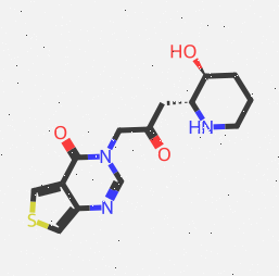 O=C(C[C@H]1NCCC[C@@H]1O)Cn1cnc2cscc2c1=O